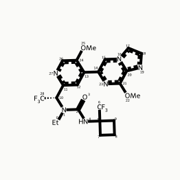 CCN(C(=O)NC1(C(F)(F)F)CCC1)[C@@H](c1cc(-c2cn3ccnc3c(OC)n2)c(OC)cn1)C(F)(F)F